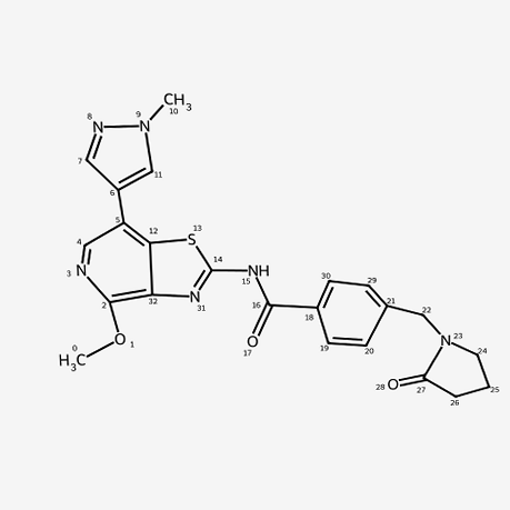 COc1ncc(-c2cnn(C)c2)c2sc(NC(=O)c3ccc(CN4CCCC4=O)cc3)nc12